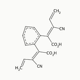 C=CC(C#N)=C(C(=O)O)c1ccccc1C(C(=O)O)=C(C#N)C=C